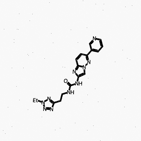 CCn1nnc(CCNC(=O)Nc2cn3nc(-c4cccnc4)ccc3n2)n1